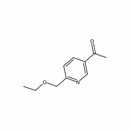 CCOCc1ccc(C(C)=O)cn1